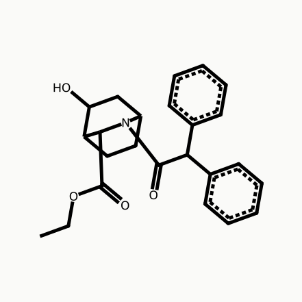 CCOC(=O)C1C2CCC(CC2O)N1C(=O)C(c1ccccc1)c1ccccc1